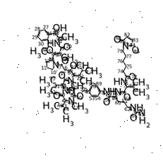 CC[C@H](C)[C@@H]([C@@H](CC(=O)N1CCC[C@H]1[C@H](OC)[C@@H](C)C(=O)N[C@H](C)[C@@H](O)c1ccccc1)OC)N(C)C(=O)[C@@H](NC(=O)C(C(C)C)N(C)C(=O)OCc1ccc(NC(=O)[C@H](CCCNC(N)=O)NC(=O)C(NC(=O)CCCCCN2C(=O)C=CC2=O)C(C)C)cc1)C(C)C